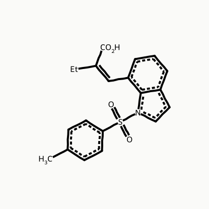 CCC(=Cc1cccc2ccn(S(=O)(=O)c3ccc(C)cc3)c12)C(=O)O